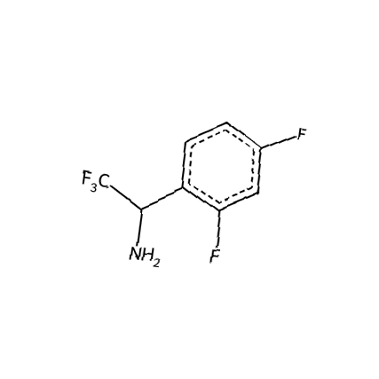 NC(c1ccc(F)cc1F)C(F)(F)F